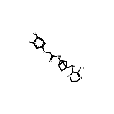 CC1=NCCNC1NC12CC(C1)C(NC(=O)COc1ccc(Cl)c(F)c1)C2